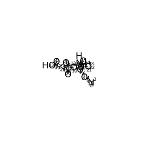 CN(C)CCOCCOc1cc2c(cc1NS(=O)(=O)c1ccccc1)C(=O)N(CCCC(=O)O)C2=O